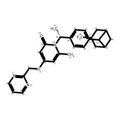 Cc1cc(OCc2ncccn2)cc(=O)n1[C@H](C)c1ccc(C2C3CC2CC(C(F)(F)F)C3)cc1